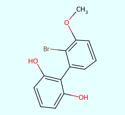 COc1cccc(-c2c(O)cccc2O)c1Br